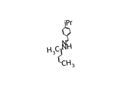 C/C=C\C=C(/C)N/N=C/c1ccc(C(C)C)cc1